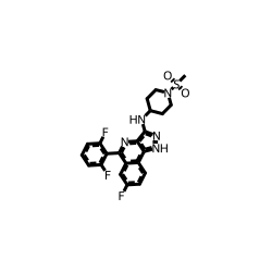 CS(=O)(=O)N1CCC(Nc2n[nH]c3c2nc(-c2c(F)cccc2F)c2cc(F)ccc23)CC1